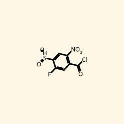 O=C(Cl)c1cc(F)c([SH](=O)=O)cc1[N+](=O)[O-]